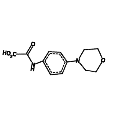 O=C(O)C(=O)Nc1ccc(N2CCOCC2)cc1